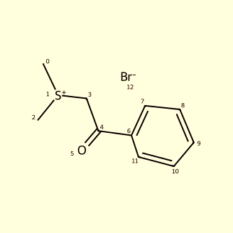 C[S+](C)CC(=O)c1ccccc1.[Br-]